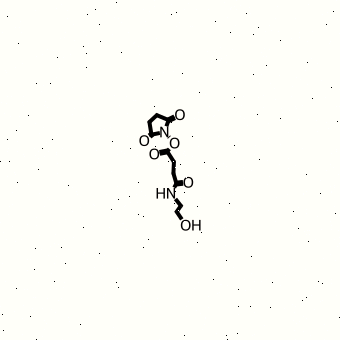 O=C(CCC(=O)ON1C(=O)CCC1=O)NCCO